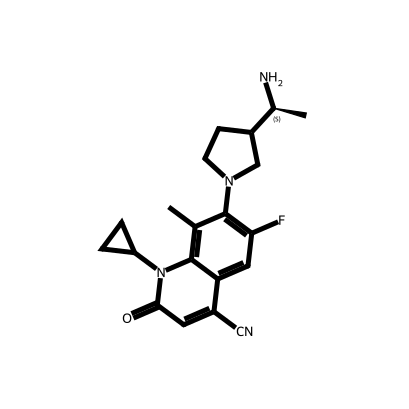 Cc1c(N2CCC([C@H](C)N)C2)c(F)cc2c(C#N)cc(=O)n(C3CC3)c12